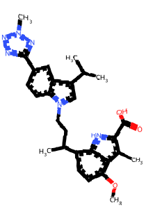 COc1ccc(C(C)CCn2cc(C(C)C)c3cc(-c4nnn(C)n4)ccc32)c2[nH]c(C(=O)O)c(C)c12